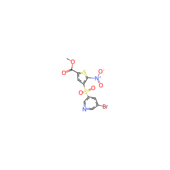 COC(=O)c1cc(S(=O)(=O)c2cncc(Br)c2)c([N+](=O)[O-])s1